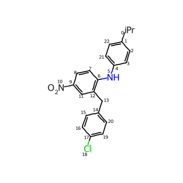 CC(C)c1ccc(Nc2ccc([N+](=O)[O-])cc2Cc2ccc(Cl)cc2)cc1